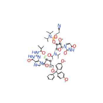 COc1ccc(C(OC[C@H]2O[C@@H](n3cnc4c(=O)[nH]c(NC(=O)C(C)C)nc43)[C@H](F)[C@@H]2CC(=O)N(C[C@H]2O[C@@H](n3ccc(=O)[nH]c3=O)[C@H](OC)[C@@H]2OP(OCCC#N)N(C(C)C)C(C)C)C(C)C)(c2ccccc2)c2ccc(OC)cc2)cc1